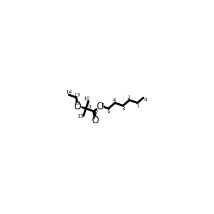 CCCCCCOC(=O)C(C)(C)OCC